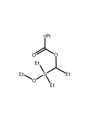 CCCC(=O)OC(CC)[Si](CC)(CC)OCC